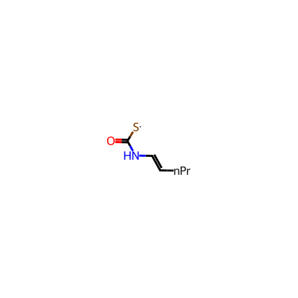 CCCC=CNC(=O)[S]